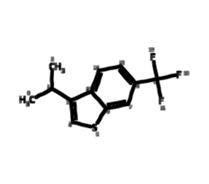 CC(C)c1[c]sc2cc(C(F)(F)F)ccc12